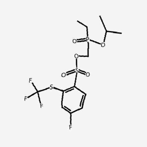 CCP(=O)(COS(=O)(=O)c1ccc(F)cc1SC(F)(F)F)OC(C)C